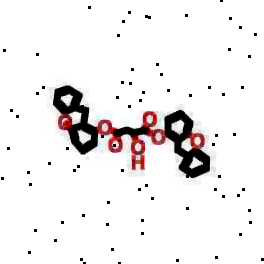 O=C(CC(O)C(=O)Oc1cccc2c1Cc1ccccc1O2)Oc1cccc2c1Cc1ccccc1O2